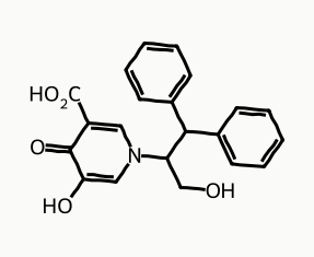 O=C(O)c1cn(C(CO)C(c2ccccc2)c2ccccc2)cc(O)c1=O